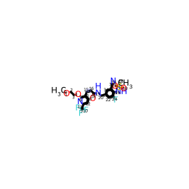 COCCOc1nc(C(F)(F)F)ccc1/C=C\C(=O)NCc1cc(F)c(NS(C)(=O)=O)c(C#N)c1